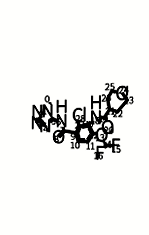 Cn1nnnc1NC(=O)c1ccc(OC(F)F)c(NC(=O)C2CCOCC2)c1Cl